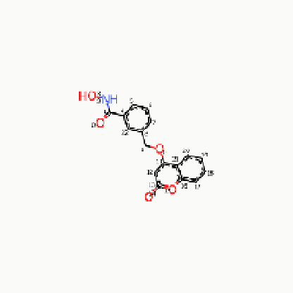 O=C(NO)c1cccc(COc2cc(=O)oc3ccccc23)c1